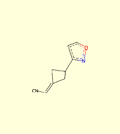 [C-]#[N+]C=C1CC(c2ccon2)C1